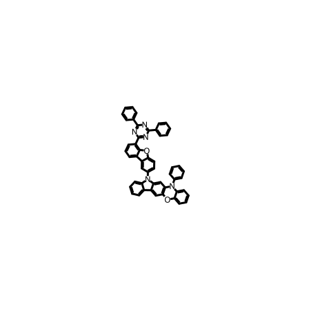 c1ccc(-c2nc(-c3ccccc3)nc(-c3cccc4c3oc3ccc(-n5c6ccccc6c6cc7c(cc65)N(c5ccccc5)c5ccccc5O7)cc34)n2)cc1